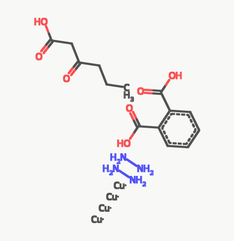 CCCC(=O)CC(=O)O.NN.NN.O=C(O)c1ccccc1C(=O)O.[Cu].[Cu].[Cu].[Cu]